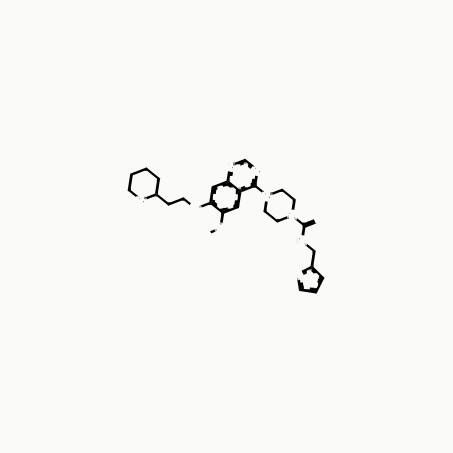 COc1cc2c(N3CCN(C(=S)NCc4cccs4)CC3)ncnc2cc1OCCC1CCCCN1